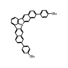 CC(C)(C)c1ccc(-c2ccc3cc4c5cccc6c7cc8ccc(-c9ccc(C(C)(C)C)cc9)cc8cc7n(c4cc3c2)c56)cc1